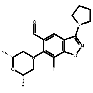 C[C@@H]1CN(c2c(C=O)cc3c(N4CCCC4)noc3c2F)C[C@H](C)O1